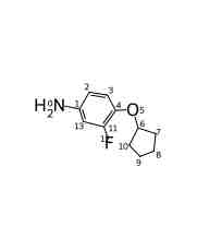 Nc1ccc(OC2CCCC2)c(F)c1